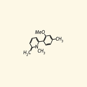 C=C1C=CC=C(c2ccc(C)cc2OC)N1C